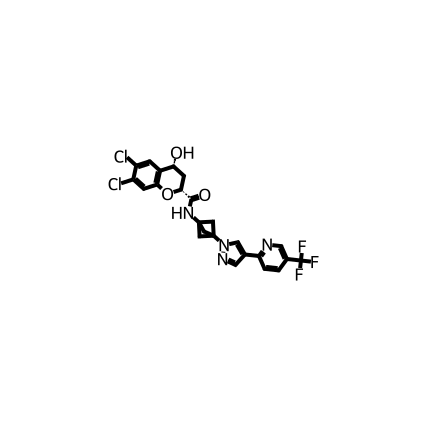 O=C(NC12CC(n3cc(-c4ccc(C(F)(F)F)cn4)cn3)(C1)C2)[C@H]1C[C@@H](O)c2cc(Cl)c(Cl)cc2O1